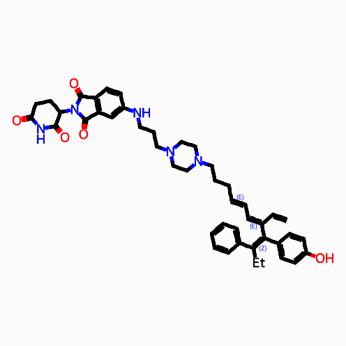 C=CC(=C\C=C\CCCN1CCN(CCCNc2ccc3c(c2)C(=O)N(C2CCC(=O)NC2=O)C3=O)CC1)/C(=C(/CC)c1ccccc1)c1ccc(O)cc1